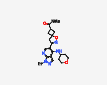 CCn1ncc2c(NC3CCOCC3)c(C3=NOC4(C3)CC(C(=O)NC)C4)cnc21